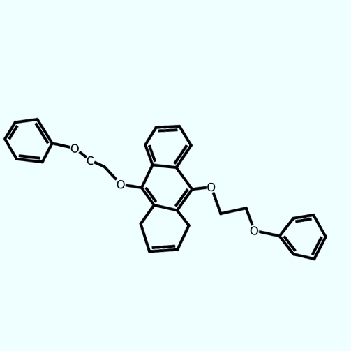 C1=CCc2c(c(OCCOc3ccccc3)c3ccccc3c2OCCOc2ccccc2)C1